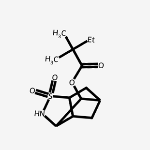 CCC(C)(C)C(=O)OC1C2CC3C1NS(=O)(=O)C3C2